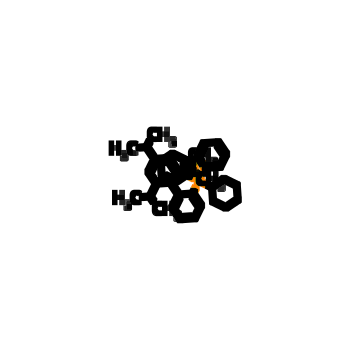 CC(C)c1cc(C(C)C)c(-c2ccccc2[PH](c2ccccc2)(c2ccccc2)C2CCCCC2)c(C(C)C)c1